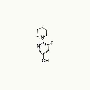 Oc1cnc(N2CCCCC2)c(F)c1